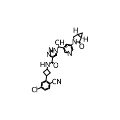 C[C@H](c1cncc(N2C[C@H]3C[C@H]3C2=O)c1)n1cc(C(=O)NC2CC(c3cc(Cl)ccc3C#N)C2)nn1